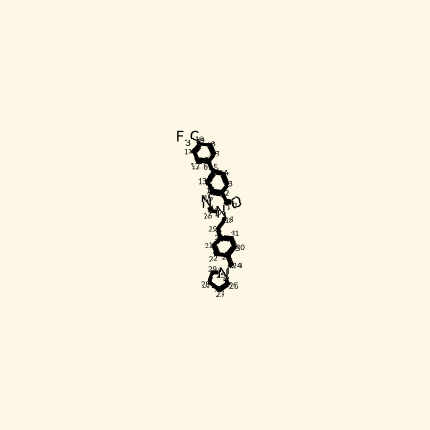 O=c1c2ccc(-c3ccc(C(F)(F)F)cc3)cc2ncn1CCc1ccc(CN2CCCC2)cc1